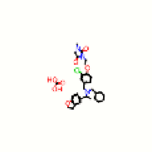 CC(c1ccc2c(c1)CCO2)N(Cc1ccc(OCCN2C(=O)CN(C)C2=O)c(Cl)c1)CC1CCCCC1.O=C(O)O